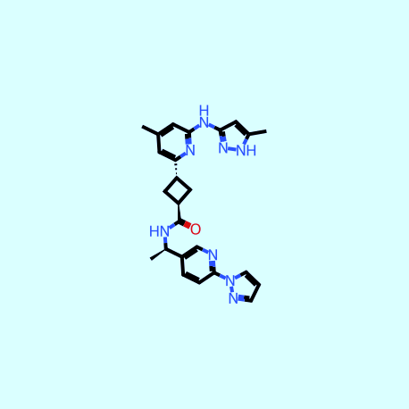 Cc1cc(Nc2cc(C)[nH]n2)nc([C@H]2C[C@H](C(=O)N[C@H](C)c3ccc(-n4cccn4)nc3)C2)c1